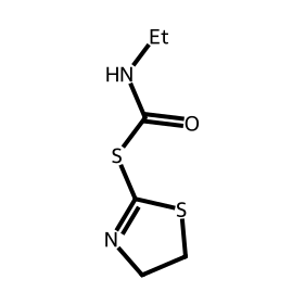 CCNC(=O)SC1=NCCS1